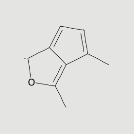 CC1=CC=C2[CH]OC(C)=C12